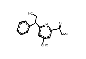 CNC(=O)c1cc(C=O)cc(C(CC#N)c2ccccc2)n1